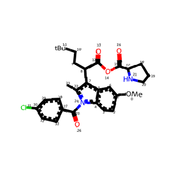 COc1ccc2c(c1)c(C(CCC(C)(C)C)C(=O)OC(=O)C1CCCN1)c(C)n2C(=O)c1ccc(Cl)cc1